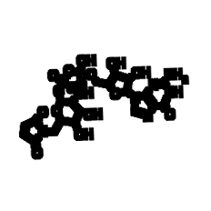 Nc1nc2c(ncn2C2OC(COP(=O)(O)OP(=O)(O)OC3OC(CN4C(=O)C=CC4=O)C(O)C(O)C3O)C(O)C2O)c(=O)[nH]1